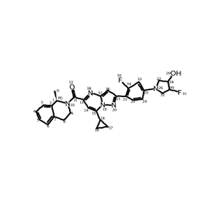 C[C@@H]1c2ccccc2CCN1C(=O)c1cc(C2CC2)n2nc(-c3ccc(N4CC(O)C(F)C4)cc3F)cc2n1